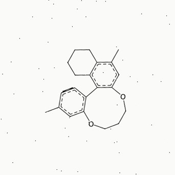 Cc1cc2c(c3c1CCCC3)-c1c(cc(C)c3c1CCCC3)OCCCO2